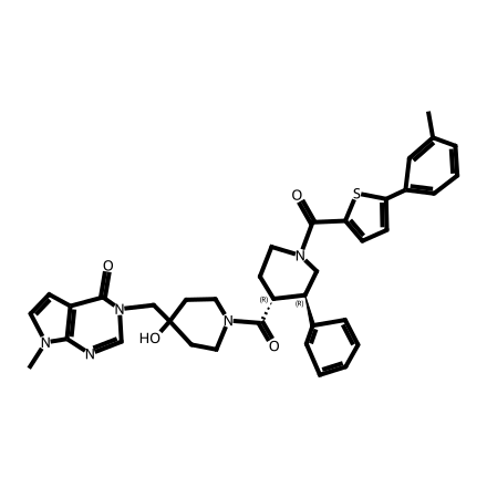 Cc1cccc(-c2ccc(C(=O)N3CC[C@@H](C(=O)N4CCC(O)(Cn5cnc6c(ccn6C)c5=O)CC4)[C@H](c4ccccc4)C3)s2)c1